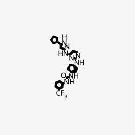 O=C(Nc1cccc(C(F)(F)F)c1)NC12CCC(Nc3nccc(Nc4cc(C5CCCC5)[nH]n4)n3)(CC1)C2